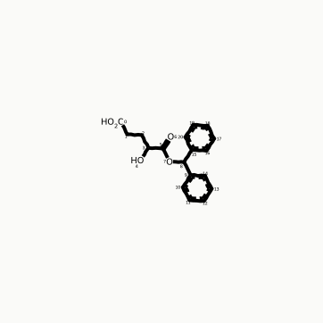 O=C(O)CCC(O)C(=O)OC(c1ccccc1)c1ccccc1